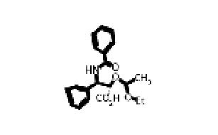 CCOC(C)O[C@H](C(=O)O)C(NC(=O)c1ccccc1)c1ccccc1